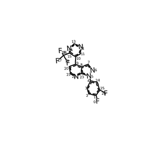 Fc1ccc(-n2ncc3c(-c4cncnc4C(F)(F)F)ccnc32)cc1F